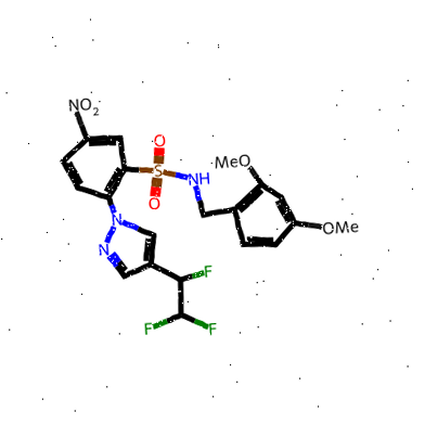 COc1ccc(CNS(=O)(=O)c2cc([N+](=O)[O-])ccc2-n2cc(C(F)C(F)F)cn2)c(OC)c1